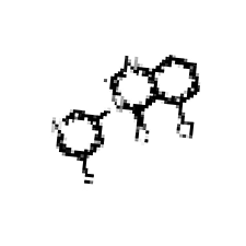 O=c1c2c(Cl)cccc2n[c]n1-c1cncc(F)c1